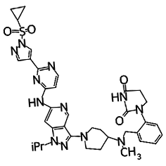 CC(C)n1nc(N2CCC(N(C)Cc3ccccc3N3CCC(=O)NC3=O)CC2)c2cnc(Nc3ccnc(-c4cnn(S(=O)(=O)C5CC5)c4)n3)cc21